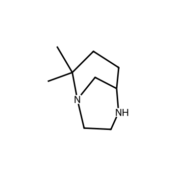 CC1(C)CCC2CN1CCN2